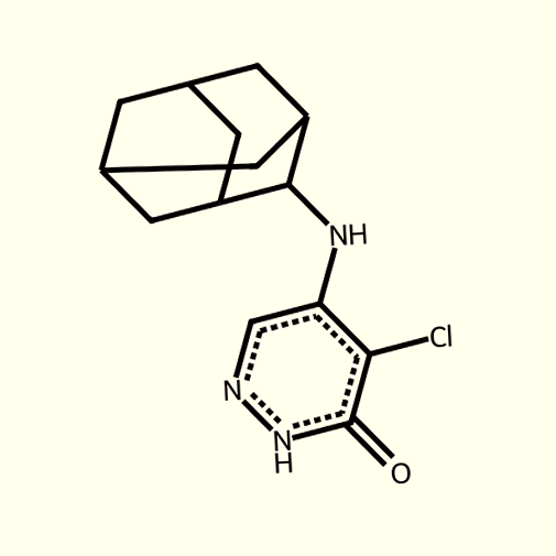 O=c1[nH]ncc(NC2C3CC4CC(C3)CC2C4)c1Cl